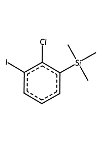 C[Si](C)(C)c1cccc(I)c1Cl